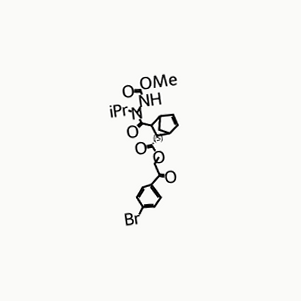 COC(=O)NN(C(=O)C1C2C=CC(C2)[C@@H]1C(=O)OCC(=O)c1ccc(Br)cc1)C(C)C